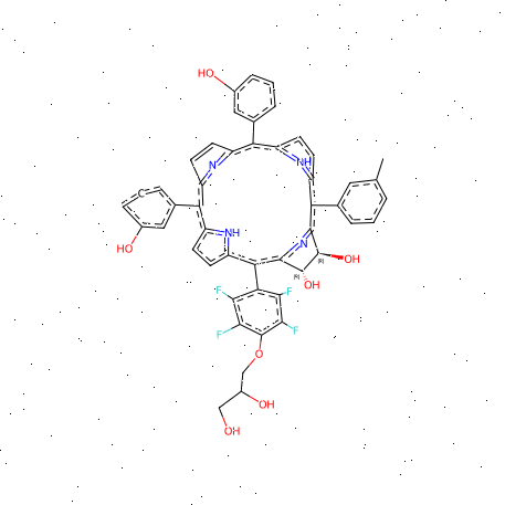 Cc1cccc(-c2c3nc(c(-c4c(F)c(F)c(OCC(O)CO)c(F)c4F)c4ccc([nH]4)c(-c4cccc(O)c4)c4nc(c(-c5cccc(O)c5)c5ccc2[nH]5)C=C4)[C@@H](O)[C@@H]3O)c1